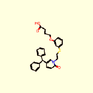 O=C(O)CCCOc1cccc(SCCn2cc(C(c3ccccc3)c3ccccc3)ccc2=O)c1